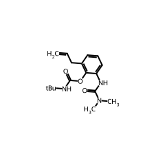 C=CCc1cccc(NC(=O)N(C)C)c1OC(=O)NC(C)(C)C